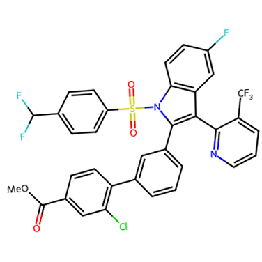 COC(=O)c1ccc(-c2cccc(-c3c(-c4ncccc4C(F)(F)F)c4cc(F)ccc4n3S(=O)(=O)c3ccc(C(F)F)cc3)c2)c(Cl)c1